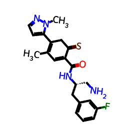 CC1=C(c2ccnn2C)CC(=S)C(C(=O)N[C@H](CN)Cc2cccc(F)c2)=C1